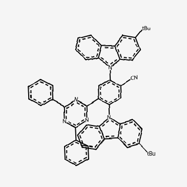 CC(C)(C)c1ccc2c(c1)c1ccccc1n2-c1cc(-c2nc(-c3ccccc3)nc(-c3ccccc3)n2)c(-n2c3ccccc3c3cc(C(C)(C)C)ccc32)cc1C#N